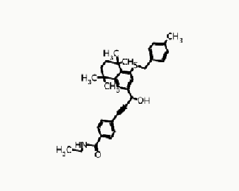 CCNC(=O)c1ccc(C#CC(O)c2cc(SCc3ccc(C)cc3)c3c(c2)C(C)(C)CCC3(C)C)cc1